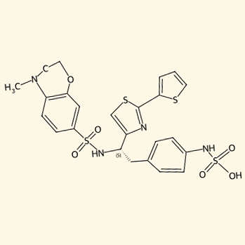 CN1CCOc2cc(S(=O)(=O)N[C@@H](Cc3ccc(NS(=O)(=O)O)cc3)c3csc(-c4cccs4)n3)ccc21